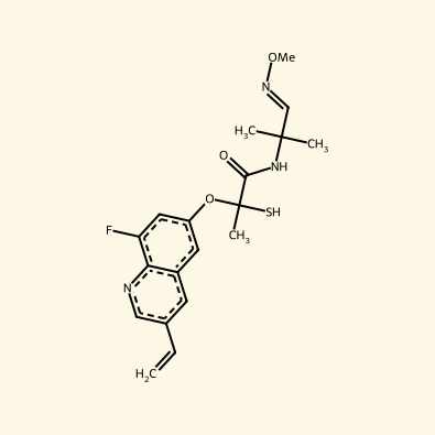 C=Cc1cnc2c(F)cc(OC(C)(S)C(=O)NC(C)(C)C=NOC)cc2c1